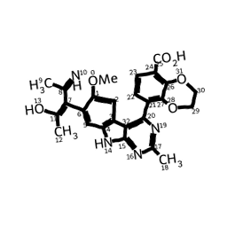 COc1cc2c(cc1/C(C(C)=N)=C(\C)O)[nH]c1nc(C)nc(-c3ccc(C(=O)O)c4c3OCCO4)c12